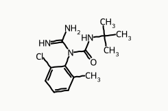 Cc1cccc(Cl)c1N(C(=N)N)C(=O)NC(C)(C)C